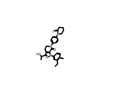 CCc1cc(-n2nc(C(C)O)c3c2C(=O)N(c2ccc(N4CCCCC4=O)cc2)CC3)ccc1C